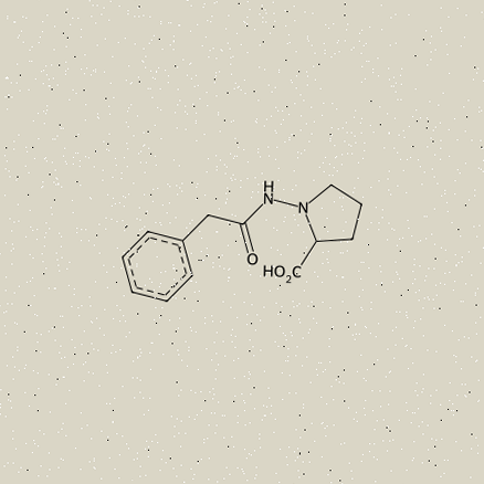 O=C(Cc1ccccc1)NN1CCCC1C(=O)O